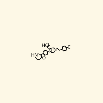 Cl.O=C1CN(CCc2ccc(Cl)cc2)CCN1c1ccc2c3c(oc2c1)CCCNC3